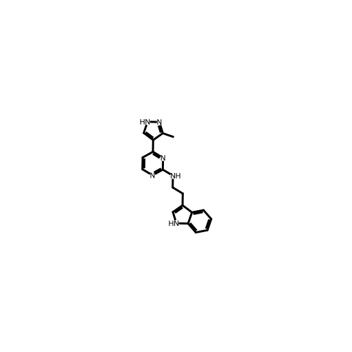 Cc1n[nH]cc1-c1ccnc(NCCc2c[nH]c3ccccc23)n1